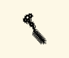 O=C(OC1c2ccccc2C=Cc2ccccc21)c1ccc(OCCCC(F)(F)C(F)(F)C(F)(F)C(F)(F)C(F)(F)C(F)(F)C(F)(F)C(F)(F)F)cc1